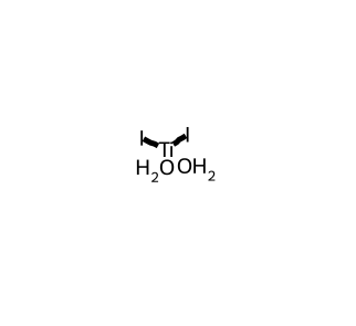 O.O.[I][Ti][I]